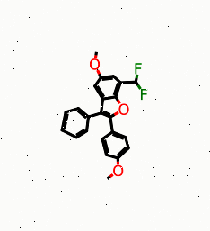 COc1ccc(-c2oc3c(C(F)F)cc(OC)cc3c2-c2ccccc2)cc1